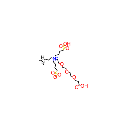 C[SiH](C)CCC[N+](CCCCS(=O)(=O)[O-])(CCCCS(=O)(=O)O)CCOCCOCCOCCC(=O)O